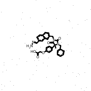 CC1(c2ccc(OCC(=O)O)cc2)C(=O)N(Cc2ccc3ccc(C=NN)cc3c2)C(=O)N1Cc1ccccc1